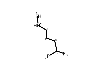 FC(F)CCCNS